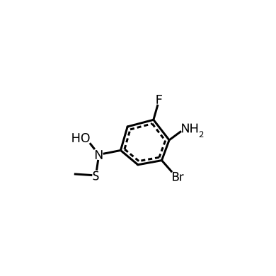 CSN(O)c1cc(F)c(N)c(Br)c1